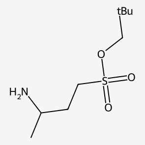 CC(N)CCS(=O)(=O)OCC(C)(C)C